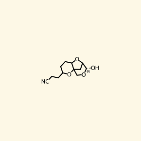 N#CCCC1CCC2OC3CC2(CO[C@H]3O)O1